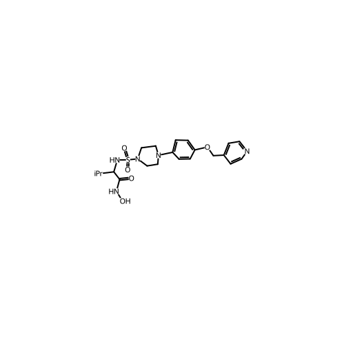 CC(C)C(NS(=O)(=O)N1CCN(c2ccc(OCc3ccncc3)cc2)CC1)C(=O)NO